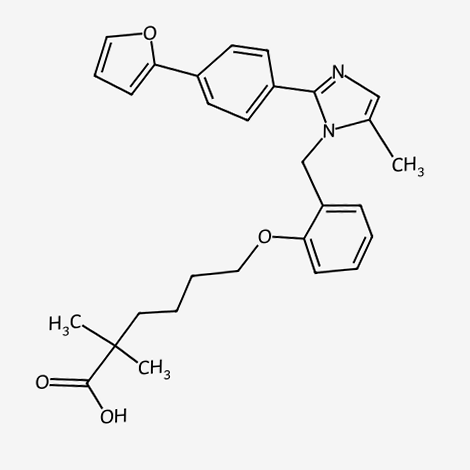 Cc1cnc(-c2ccc(-c3ccco3)cc2)n1Cc1ccccc1OCCCCC(C)(C)C(=O)O